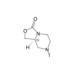 O=C1OC[C@@H]2CN(I)CCN12